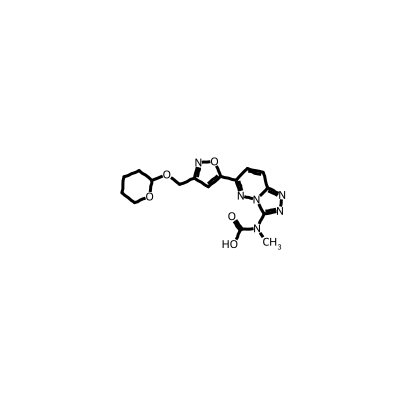 CN(C(=O)O)c1nnc2ccc(-c3cc(COC4CCCCO4)no3)nn12